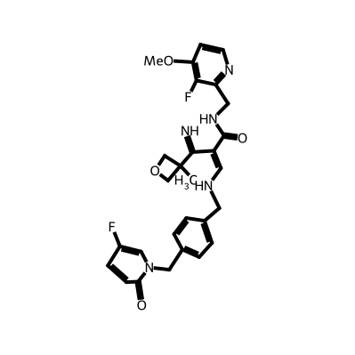 COc1ccnc(CNC(=O)/C(=C/NCc2ccc(Cn3cc(F)ccc3=O)cc2)C(=N)C2(C)COC2)c1F